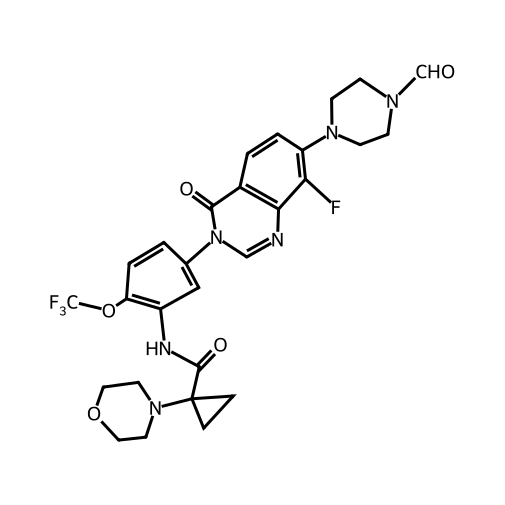 O=CN1CCN(c2ccc3c(=O)n(-c4ccc(OC(F)(F)F)c(NC(=O)C5(N6CCOCC6)CC5)c4)cnc3c2F)CC1